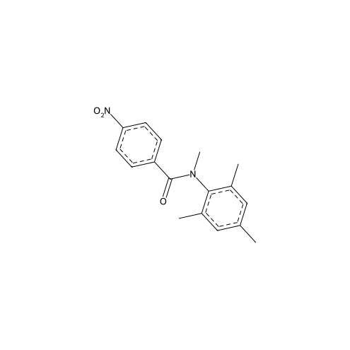 Cc1cc(C)c(N(C)C(=O)c2ccc([N+](=O)[O-])cc2)c(C)c1